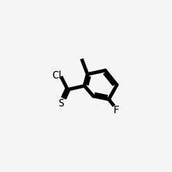 Cc1ccc(F)cc1C(=S)Cl